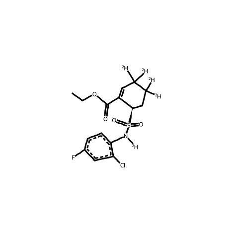 [2H]N(c1ccc(F)cc1Cl)S(=O)(=O)[C@@H]1CC([2H])([2H])C([2H])([2H])C=C1C(=O)OCC